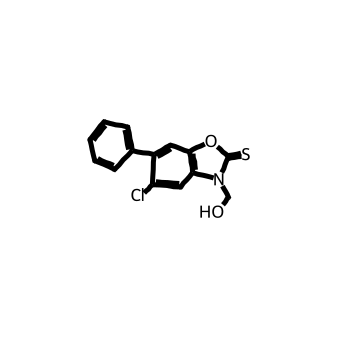 OCn1c(=S)oc2cc(-c3ccccc3)c(Cl)cc21